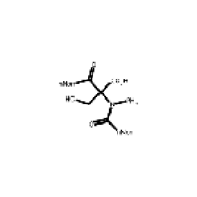 CCCCCCCCCC(=O)N(P)C(CO)(C(=O)O)C(=O)CCCCCCCCC